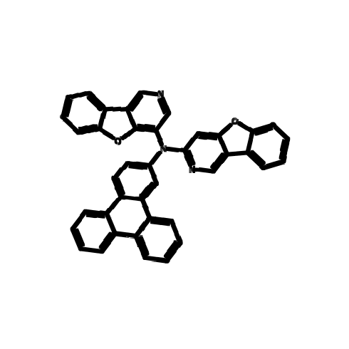 c1ccc2c(c1)oc1cc(N(c3ccc4c5ccccc5c5ccccc5c4c3)c3cncc4c3oc3ccccc34)ncc12